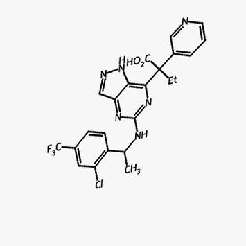 CCC(C(=O)O)(c1cccnc1)c1nc(NC(C)c2ccc(C(F)(F)F)cc2Cl)nc2cn[nH]c12